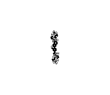 COC(=O)NC(C(=O)N1CCC[C@H]1c1ncc(-c2ccc3c(c2)COc2cc4c(cc2-3)CCc2[nH]c([C@@H]3CCCN3C(=O)C(NC(=O)OC)C(C)C)nc2-4)[nH]1)C(C)C